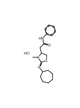 CN1C(=NC2CCCCCC2)SCC1CC(=O)Nc1ccccc1.Cl